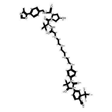 Cc1ncsc1-c1ccc(CNC(=O)[C@@H]2C[C@@H](O)CN2C(=O)[C@@H](NC(=O)COCCOCCOCCOc2ccc(N3C(=O)N(c4ccc(C#N)c(C(F)(F)F)c4)C(=O)C3(C)C)cc2)C(C)(C)C)cc1